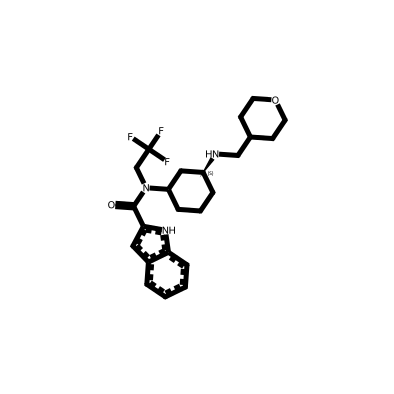 O=C(c1cc2ccccc2[nH]1)N(CC(F)(F)F)C1CCC[C@H](NCC2CCOCC2)C1